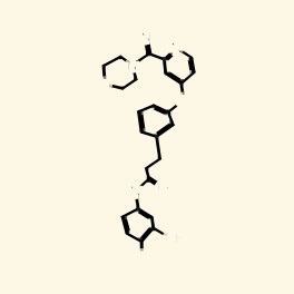 N=C(c1cc(Oc2cccc(CCC(=O)Nc3ccc(Cl)c(C(F)(F)F)c3)c2)ccn1)N1CCOCC1